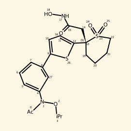 CC(=O)N(OC(C)C)c1cccc(-c2ccc([C@@]3(CC(=O)NO)CCCCS3(=O)=O)s2)c1